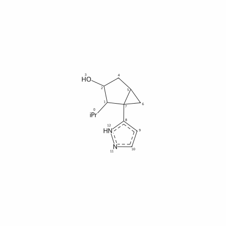 CC(C)C1C(O)CC2CC21c1ccn[nH]1